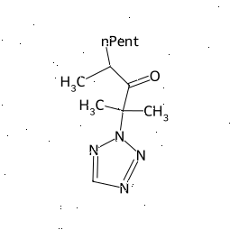 CCCCCC(C)C(=O)C(C)(C)n1ncnn1